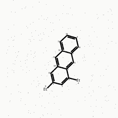 CCc1cc(CC)c2cc3ccccc3cc2c1